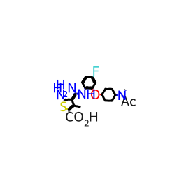 CC(=O)N(C)[C@H]1CC[C@@H](Oc2cc(F)ccc2N/C(N)=C2/C(=N)SC(C(=O)O)=C2C)CC1